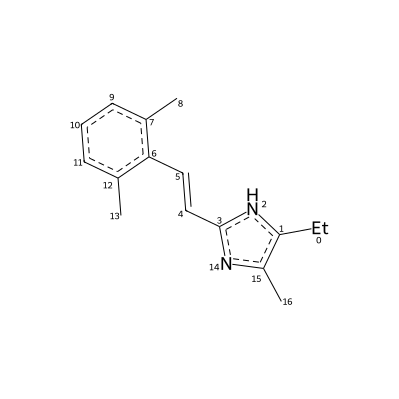 CCc1[nH]c(/C=C/c2c(C)cccc2C)nc1C